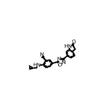 N#Cc1cc(-c2nc(-c3ccc4c(c3)NC(=O)C4)no2)ccc1NCC1CC1